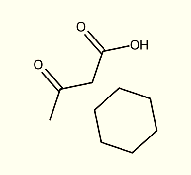 C1CCCCC1.CC(=O)CC(=O)O